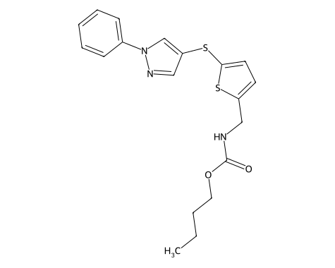 CCCCOC(=O)NCc1ccc(Sc2cnn(-c3ccccc3)c2)s1